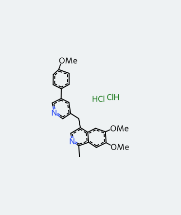 COc1ccc(-c2cncc(Cc3cnc(C)c4cc(OC)c(OC)cc34)c2)cc1.Cl.Cl